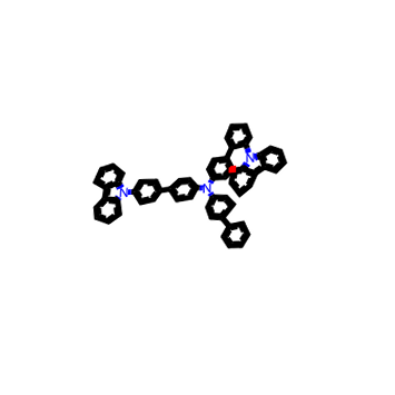 c1ccc(-c2ccc(N(c3ccc(-c4ccc(-n5c6ccccc6c6ccccc65)cc4)cc3)c3ccc(-c4ccccc4-n4c5ccccc5c5ccccc54)cc3)cc2)cc1